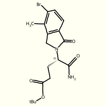 Cc1c(Br)ccc2c1CN([C@@H](CCC(=O)OC(C)(C)C)C(N)=O)C2=O